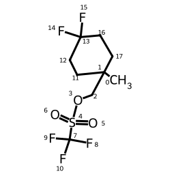 CC1(COS(=O)(=O)C(F)(F)F)CCC(F)(F)CC1